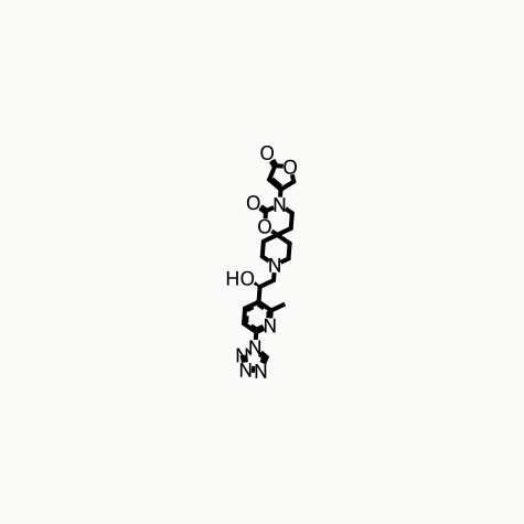 Cc1nc(-n2cnnn2)ccc1[C@@H](O)CN1CCC2(CC1)CCN(C1=CC(=O)OC1)C(=O)O2